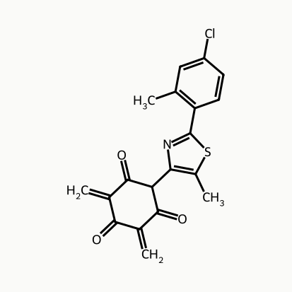 C=C1C(=O)C(=C)C(=O)C(c2nc(-c3ccc(Cl)cc3C)sc2C)C1=O